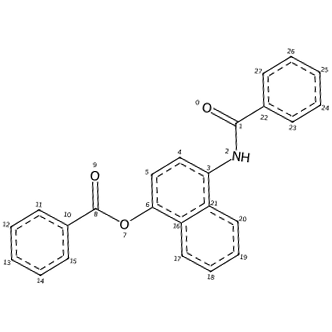 O=C(Nc1ccc(OC(=O)c2ccccc2)c2ccccc12)c1ccccc1